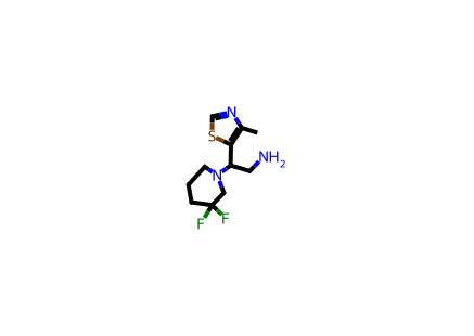 Cc1ncsc1C(CN)N1CCCC(F)(F)C1